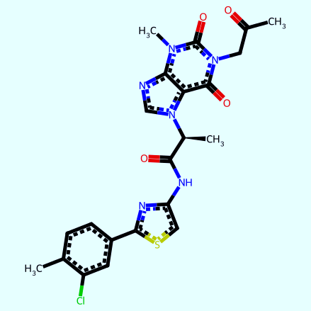 CC(=O)Cn1c(=O)c2c(ncn2[C@@H](C)C(=O)Nc2csc(-c3ccc(C)c(Cl)c3)n2)n(C)c1=O